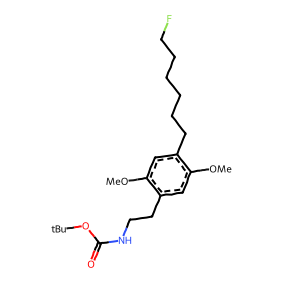 COc1cc(CCNC(=O)OC(C)(C)C)c(OC)cc1CCCCCCF